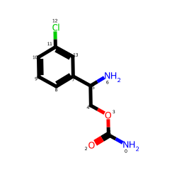 NC(=O)OCC(N)c1cccc(Cl)c1